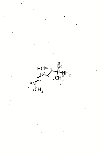 CCC(C)(N)CCN=C=NC.Cl